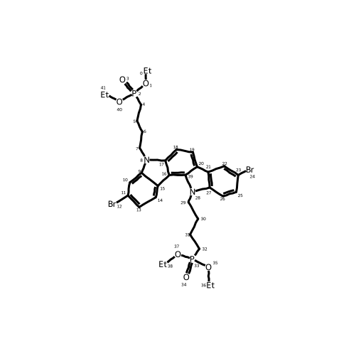 CCOP(=O)(CCCCn1c2cc(Br)ccc2c2c1ccc1c3cc(Br)ccc3n(CCCCP(=O)(OCC)OCC)c12)OCC